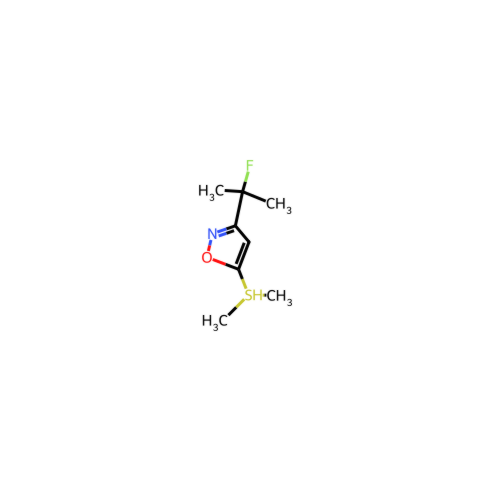 C[SH](C)c1cc(C(C)(C)F)no1